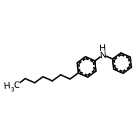 CCCCCCCc1ccc(Nc2ccccc2)cc1